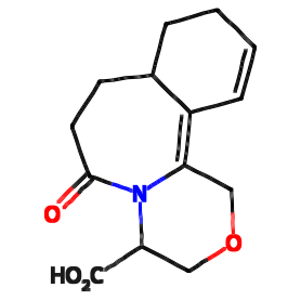 O=C(O)C1COCC2=C3C=CCCC3CCC(=O)N21